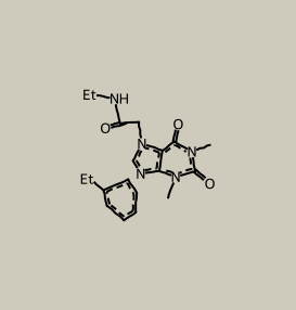 CCNC(=O)Cn1cnc2c1c(=O)n(C)c(=O)n2C.CCc1ccccc1